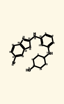 OC1CCC(Nc2cccc(Nc3nc4ccc(Br)cc4s3)n2)CC1